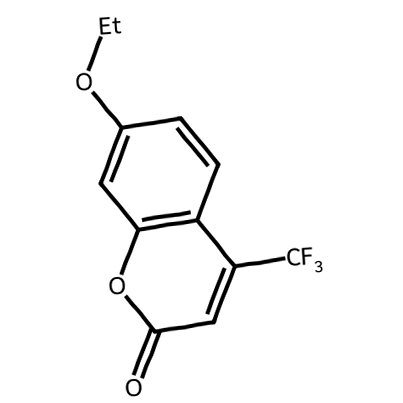 CCOc1ccc2c(C(F)(F)F)cc(=O)oc2c1